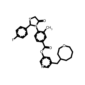 Cc1cc(C(=O)Oc2cncc(CC3CCCCOCC3)c2)ccc1N1C(=O)CSC1c1ccc(F)cc1